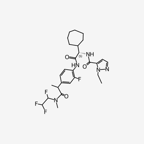 CCn1nccc1C(=O)N[C@H](C(=O)Nc1ccc(C(C)C(=O)N(C)C(F)C(F)F)cc1F)C1CCCCCC1